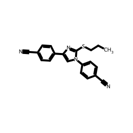 CCCSc1nc(-c2ccc(C#N)cc2)cn1-c1ccc(C#N)cc1